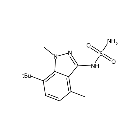 Cc1ccc(C(C)(C)C)c2c1c(NS(N)(=O)=O)nn2C